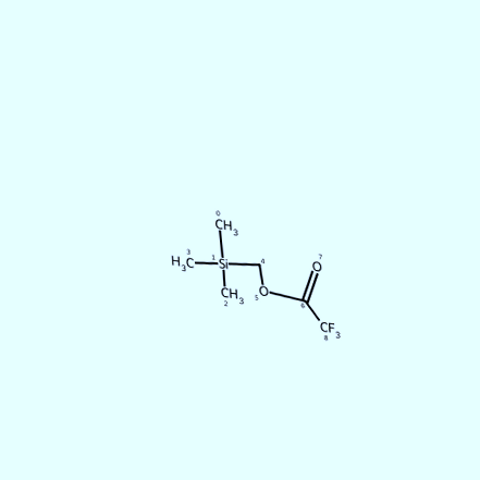 C[Si](C)(C)COC(=O)C(F)(F)F